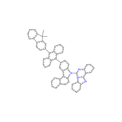 CC1(C)c2ccccc2-c2ccc(-c3c4ccccc4c(-c4ccc5c(c4)c4c6ccccc6ccc4n5-c4nc5ccccc5c5nc6ccccc6n45)c4ccccc34)cc21